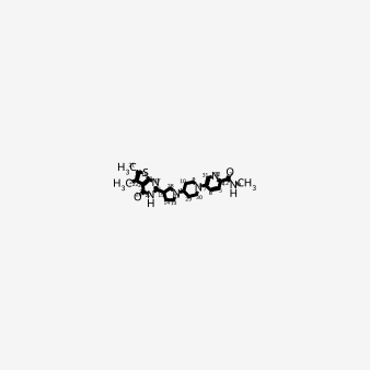 CNC(=O)c1ccc(N2CCC(N3CCC(c4nc5sc(C)c(C)c5c(=O)[nH]4)C3)CC2)cn1